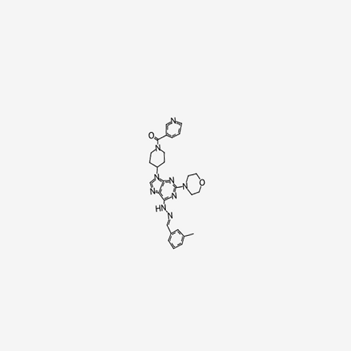 Cc1cccc(C=NNc2nc(N3CCOCC3)nc3c2ncn3C2CCN(C(=O)c3cccnc3)CC2)c1